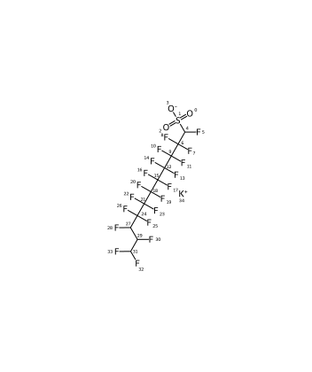 O=S(=O)([O-])C(F)C(F)(F)C(F)(F)C(F)(F)C(F)(F)C(F)(F)C(F)(F)C(F)(F)C(F)C(F)C(F)F.[K+]